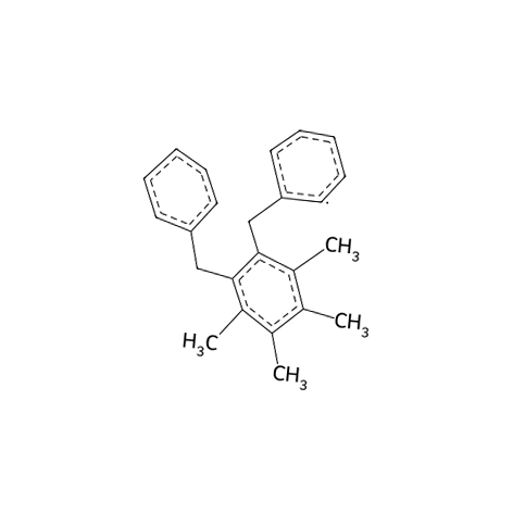 Cc1c(C)c(C)c(Cc2ccccc2)c(Cc2[c]cccc2)c1C